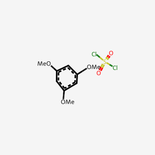 COc1cc(OC)cc(OC)c1.O=S(=O)(Cl)Cl